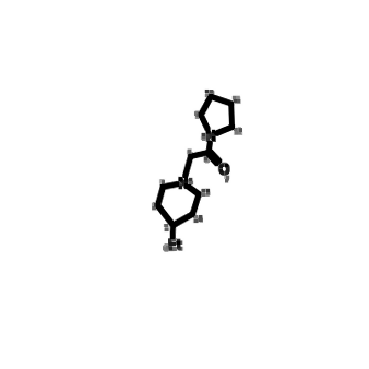 CCC1CCN(CC(=O)N2CCCC2)CC1